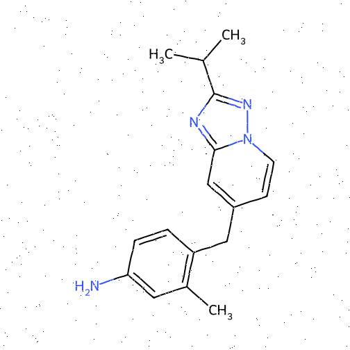 Cc1cc(N)ccc1Cc1ccn2nc(C(C)C)nc2c1